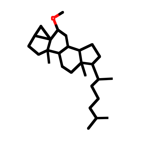 COC1CC2C3CCC(C(C)CCCC(C)C)C3(C)CCC2C2(C)CCC3CC312